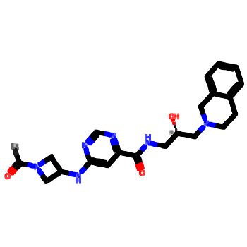 CCC(=O)N1CC(Nc2cc(C(=O)NC[C@H](O)CN3CCc4ccccc4C3)ncn2)C1